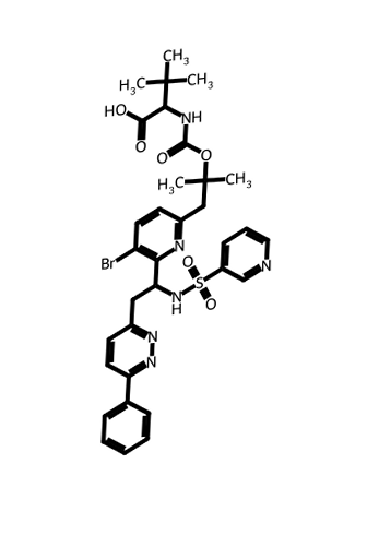 CC(C)(Cc1ccc(Br)c(C(Cc2ccc(-c3ccccc3)nn2)NS(=O)(=O)c2cccnc2)n1)OC(=O)NC(C(=O)O)C(C)(C)C